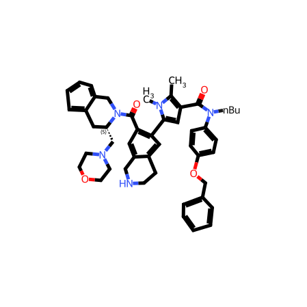 CCCCN(C(=O)c1cc(-c2cc3c(cc2C(=O)N2Cc4ccccc4C[C@H]2CN2CCOCC2)CNCC3)n(C)c1C)c1ccc(OCc2ccccc2)cc1